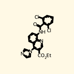 CCOC(=O)c1cnc2c(NC(=O)c3c(Cl)cccc3Cl)cccc2c1-n1ccnc1